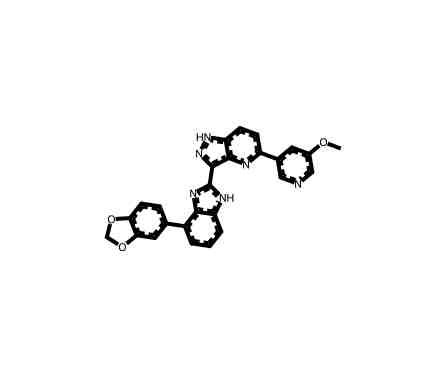 COc1cncc(-c2ccc3[nH]nc(-c4nc5c(-c6ccc7c(c6)OCO7)cccc5[nH]4)c3n2)c1